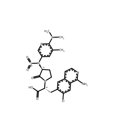 Cc1cc(N([C@H]2CCN([C@H](Cc3cc4ccnc(N)c4cc3Cl)C(=O)O)C2=O)[SH](=O)=O)cnc1N(C)C